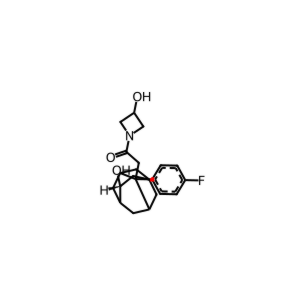 O=C(CC1(c2ccc(F)cc2)C2CC3CC1CC(C2)[C@H](O)C3)N1CC(O)C1